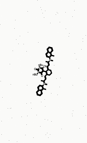 CCCCn1c(O)c(C2=C(/C=C/C(C)=[N+](\C)c3ccc4ccccc4c3C)CCC/C2=C\C=C(/C)N(C)c2ccc3ccccc3c2C)c(=O)n(CCCC)c1=O